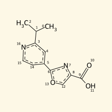 CC(C)c1cc(-c2nc(C(=O)O)co2)ccn1